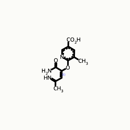 CC(=N)/C=C(/Oc1ncc(C(=O)O)cc1C)C(N)=O